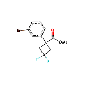 COC(=O)C1(c2cccc(Br)c2)CC(F)(F)C1